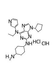 CCN(c1cccnc1)c1nc(NC2CCC(N)CC2)nc2c1ncn2C1CCCC1.Cl.Cl